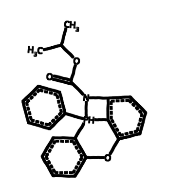 CC(C)OC(=O)N1c2cccc3c2[PH]1(c1ccccc1)c1ccccc1O3